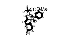 COc1cccc(S(=O)(=O)n2c(COC(C)(C)C(=O)O)cc3nc(Cl)ccc32)c1